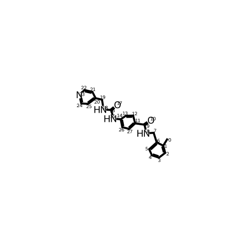 Cc1ccccc1CNC(=O)c1ccc(NC(=O)NCc2ccncc2)cc1